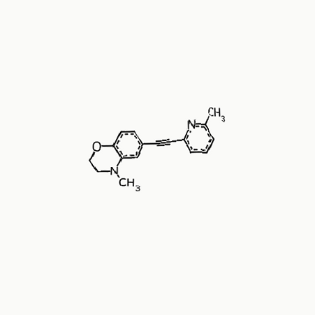 Cc1cccc(C#Cc2ccc3c(c2)N(C)CCO3)n1